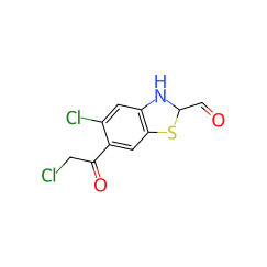 O=CC1Nc2cc(Cl)c(C(=O)CCl)cc2S1